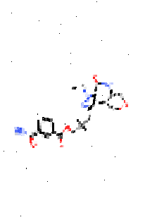 CCn1nc(CC(C)(C)COC(=O)c2cccc(C(=O)NC)c2)c2c1C(=O)NCC1(CCOCC1)C2